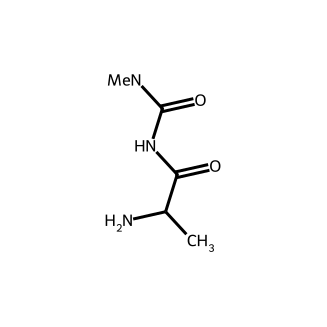 CNC(=O)NC(=O)C(C)N